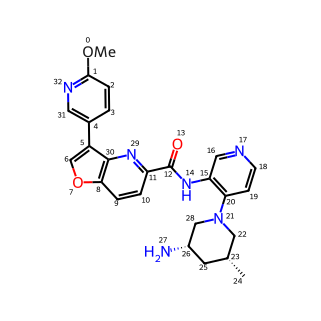 COc1ccc(-c2coc3ccc(C(=O)Nc4cnccc4N4C[C@H](C)C[C@H](N)C4)nc23)cn1